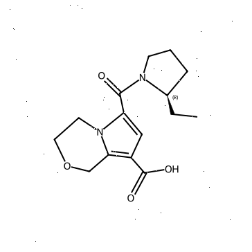 CC[C@@H]1CCCN1C(=O)c1cc(C(=O)O)c2n1CCOC2